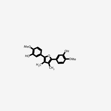 COc1ccc(-c2oc(-c3ccc(OC)c(O)c3)c(C)c2C)cc1O